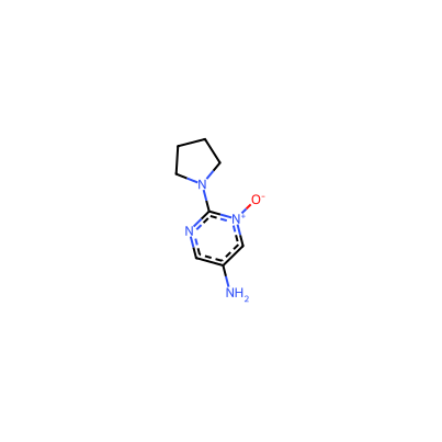 Nc1cnc(N2CCCC2)[n+]([O-])c1